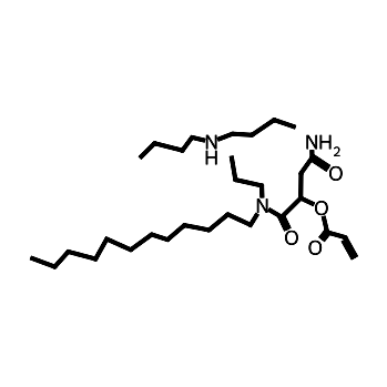 C=CC(=O)OC(CC(N)=O)C(=O)N(CCC)CCCCCCCCCCCC.CCCCNCCCC